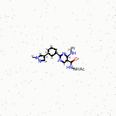 CC(=O)NNC(=O)c1cnc(-c2cccc(-c3cnn(C)c3)c2)nc1NC(C)C